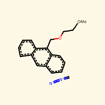 C=[N+]=[N-].COCCOCc1c2ccccc2cc2ccccc12